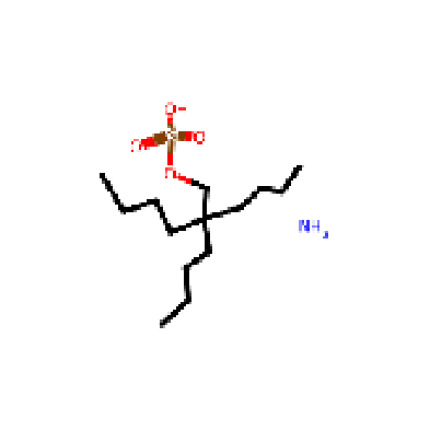 CCCCC(CCCC)(CCCC)COS(=O)(=O)O.N